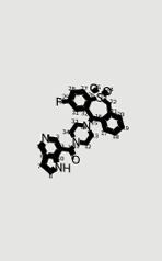 O=C(c1cncc2cc[nH]c12)N1CCN(C2c3ccccc3CS(=O)(=O)c3ccc(F)cc32)CC1